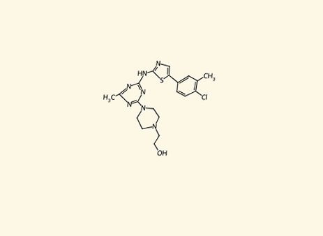 Cc1nc(Nc2ncc(-c3ccc(Cl)c(C)c3)s2)nc(N2CCN(CCO)CC2)n1